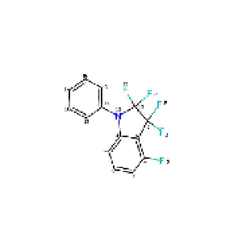 Fc1cccc2c1C(F)(F)C(F)(F)N2c1ccccc1